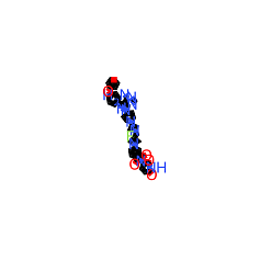 Nc1ncnc2c1c(C1=CCC=C(Oc3ccccc3)C=C1)nn2C1CCN(C2CN(CC3(F)CN(c4ccc5c(c4)C(=O)N(C4CCC(=O)NC4=O)C5=O)C3)C2)CC1